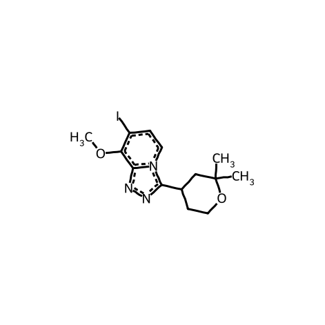 COc1c(I)ccn2c(C3CCOC(C)(C)C3)nnc12